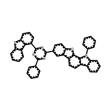 c1ccc(-c2nc(-c3ccc4oc5c(ccc6c7ccccc7n(-c7ccccc7)c65)c4c3)nc(-c3cccc4sc5ccccc5c34)n2)cc1